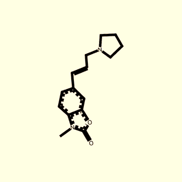 Cn1c(=O)oc2cc(C=CCN3CCCC3)ccc21